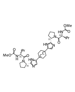 COC(=O)N[C@H](C(=O)N1CCC[C@H]1c1ncc(C23CCC(c4cnc([C@@H]5CCCN5C(=O)[C@@H](NC(=O)OC)C(C)C)[nH]4)(CC2)CC3)[nH]1)C(C)C